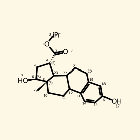 CC(C)OC(=O)[C@H]1C[C@H](O)[C@@]2(C)CCC3c4ccc(O)cc4CCC3C12